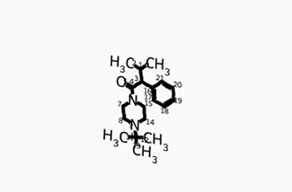 CC(C)C(C(=O)N1CCN(C(C)(C)C)CC1)c1ccccc1